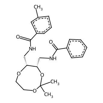 Cc1cccc(C(=O)NC[C@H]2OCCOC(C)(C)O[C@H]2CNC(=O)c2ccccc2)c1